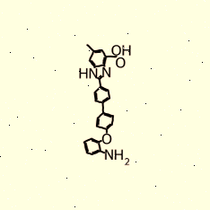 Cc1cc(C(=O)O)c2nc(-c3ccc(-c4ccc(Oc5ccccc5N)cc4)cc3)[nH]c2c1